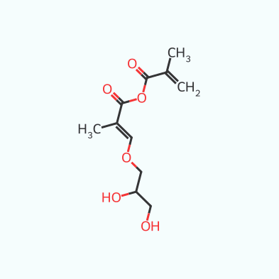 C=C(C)C(=O)OC(=O)C(C)=COCC(O)CO